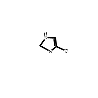 ClC1=CNC[N]1